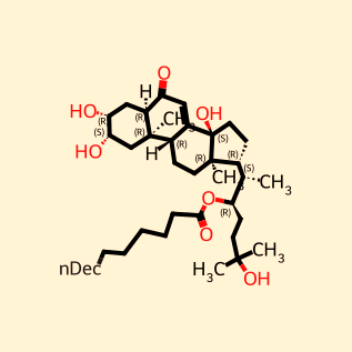 CCCCCCCCCCCCCCCC(=O)O[C@H](CCC(C)(C)O)[C@@H](C)[C@H]1CC[C@@]2(O)C3=CC(=O)[C@@H]4C[C@@H](O)[C@@H](O)C[C@]4(C)[C@H]3CC[C@]12C